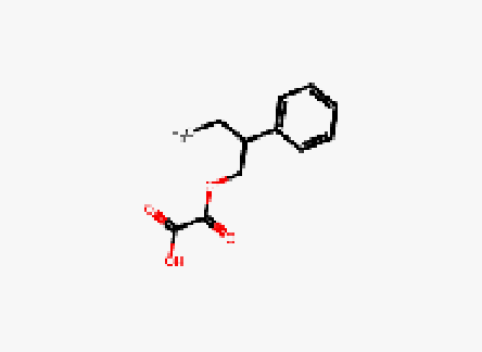 CCC(COC(=O)C(=O)O)c1ccccc1